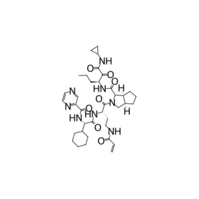 C=CC(=O)NCC[C@H](NC(=O)[C@@H](NC(=O)c1cnccn1)C1CCCCC1)C(=O)N1C[C@@H]2CCC[C@@H]2C1C(=O)N[C@@H](CCC)C(=O)C(=O)NC1CC1